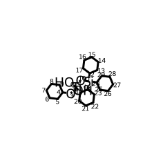 [OH][Ti]([OH])([O]C1CCCCC1)[O][Si](C1CCCCC1)(C1CCCCC1)C1CCCCC1